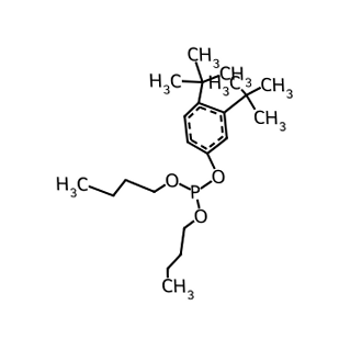 CCCCOP(OCCCC)Oc1ccc(C(C)(C)C)c(C(C)(C)C)c1